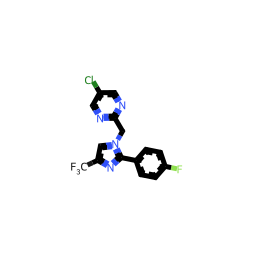 Fc1ccc(-c2nc(C(F)(F)F)cn2Cc2ncc(Cl)cn2)cc1